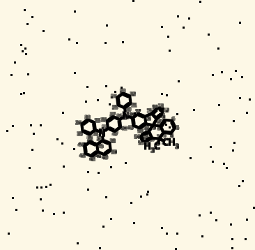 CC1(C)c2ccccc2C2(c3ccccc3-c3cc(N(c4ccccc4)c4ccc(N(c5ccccc5)c5cccc6ccccc56)cc4)ccc32)c2ccccc21